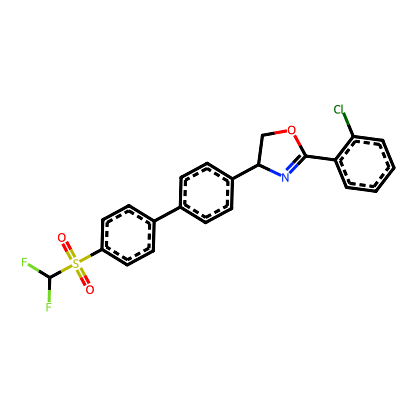 O=S(=O)(c1ccc(-c2ccc(C3COC(c4ccccc4Cl)=N3)cc2)cc1)C(F)F